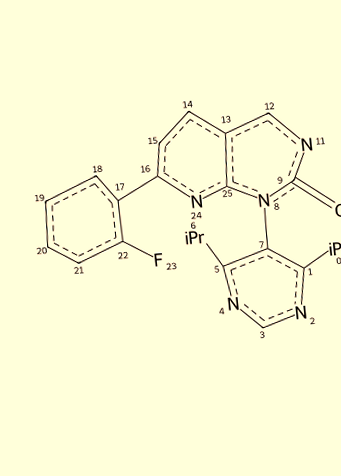 CC(C)c1ncnc(C(C)C)c1-n1c(=O)ncc2ccc(-c3ccccc3F)nc21